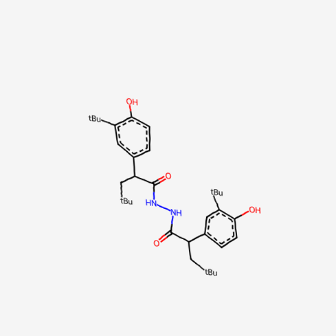 CC(C)(C)CC(C(=O)NNC(=O)C(CC(C)(C)C)c1ccc(O)c(C(C)(C)C)c1)c1ccc(O)c(C(C)(C)C)c1